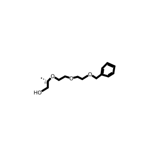 C[C@@H](CO)OCCOCCOCc1ccccc1